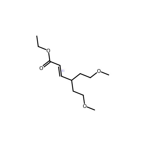 CCOC(=O)/C=C/C(CCOC)CCOC